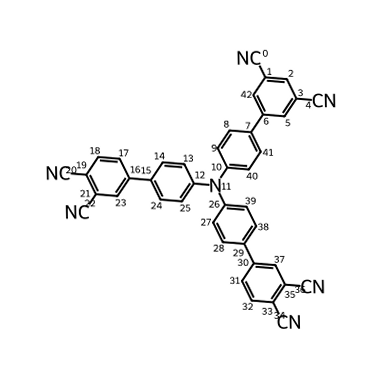 N#Cc1cc(C#N)cc(-c2ccc(N(c3ccc(-c4ccc(C#N)c(C#N)c4)cc3)c3ccc(-c4ccc(C#N)c(C#N)c4)cc3)cc2)c1